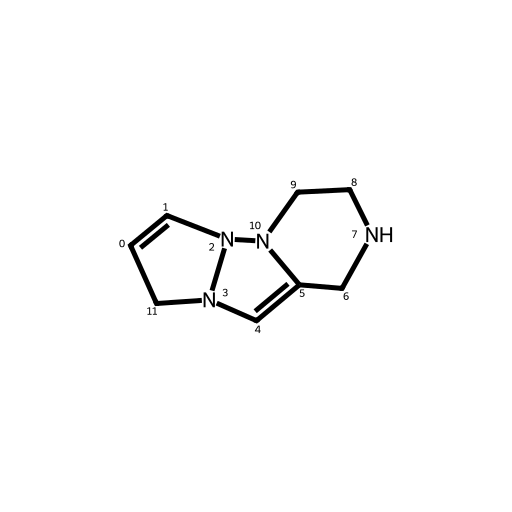 C1=CN2N(C=C3CNCCN32)C1